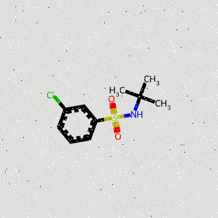 CC(C)(C)NS(=O)(=O)c1cccc(Cl)c1